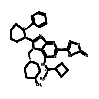 C[C@@H](Nc1nc(-c2noc(=O)[nH]2)nc2nc(N3CCCC[C@H]3c3ccccc3)n(C[C@H]3CC[C@H](C)CC3)c12)C1CCC1